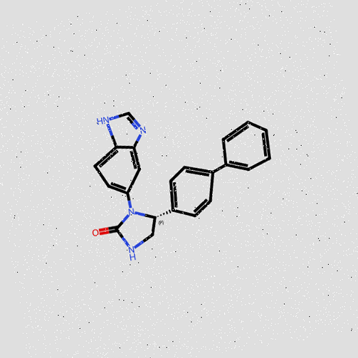 O=C1NC[C@@H](c2ccc(-c3ccccc3)cc2)N1c1ccc2[nH]cnc2c1